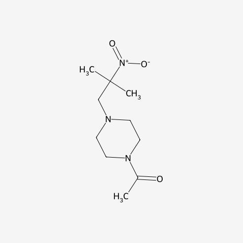 CC(=O)N1CCN(CC(C)(C)[N+](=O)[O-])CC1